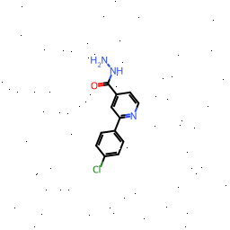 NNC(=O)c1ccnc(-c2ccc(Cl)cc2)c1